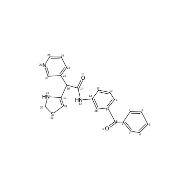 O=C(c1ccccc1)c1cccc(NC(=O)C(C2=CSCN2)c2cccnc2)c1